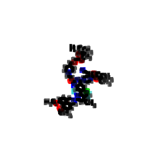 COc1ccc(CN(Cc2ccc(OC)cc2)c2cc(C)c(C(F)(F)F)c(-c3c(Cl)cc4c(N5CCN(C(=O)OC(C)(C)C)[C@@H](CC#N)C5)nc(OCCN5CCC(COCC(=O)OC(C)(C)C)CC5)nc4c3F)n2)cc1